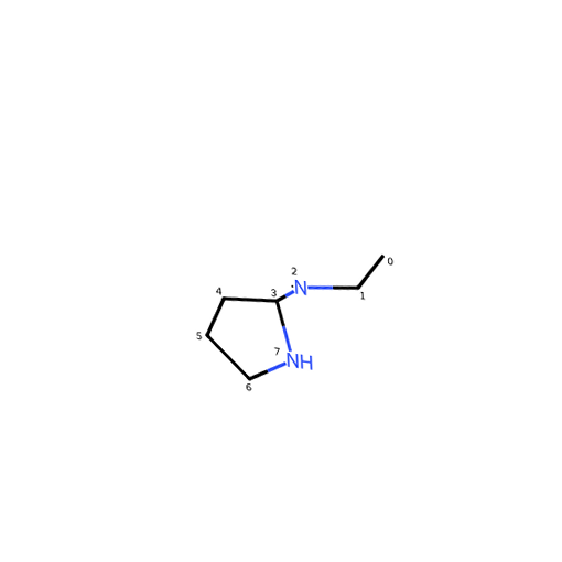 CC[N]C1CCCN1